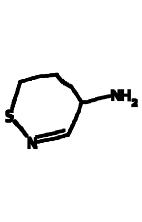 NC1C=NSCC1